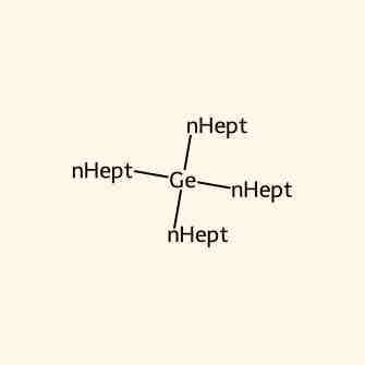 CCCCCC[CH2][Ge]([CH2]CCCCCC)([CH2]CCCCCC)[CH2]CCCCCC